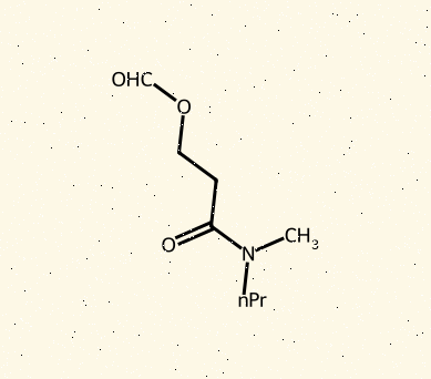 CCCN(C)C(=O)CCOC=O